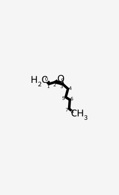 C=CC1=C(CCCCC)O1